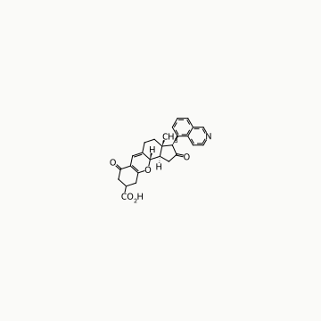 C[C@]12CCC3=CC4=C(CC(C(=O)O)CC4=O)O[C@H]3[C@@H]1CC(=O)[C@@H]2c1cccc2cnccc12